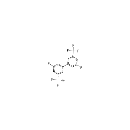 Fc1cc(-c2cc(F)cc(C(F)(F)F)c2)[c]c(C(F)(F)F)c1